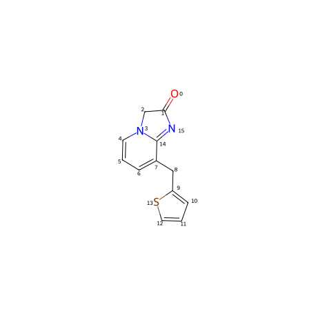 O=C1CN2C=CC=C(Cc3cccs3)C2=N1